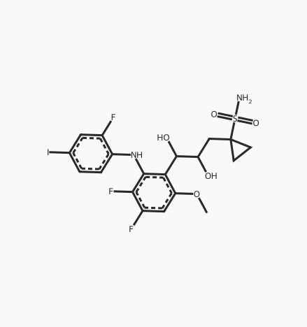 COc1cc(F)c(F)c(Nc2ccc(I)cc2F)c1C(O)C(O)CC1(S(N)(=O)=O)CC1